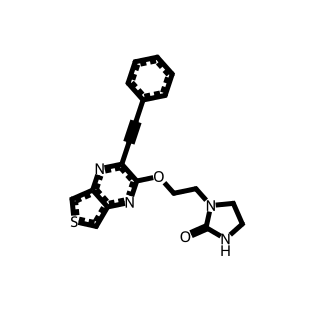 O=C1NCCN1CCOc1nc2cscc2nc1C#Cc1ccccc1